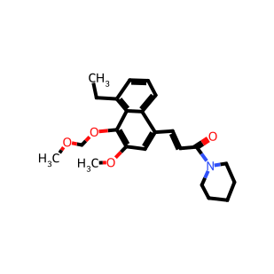 CCc1cccc2c(C=CC(=O)N3CCCCC3)cc(OC)c(OCOC)c12